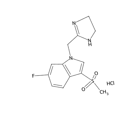 CS(=O)(=O)c1cn(CC2=NCCN2)c2cc(F)ccc12.Cl